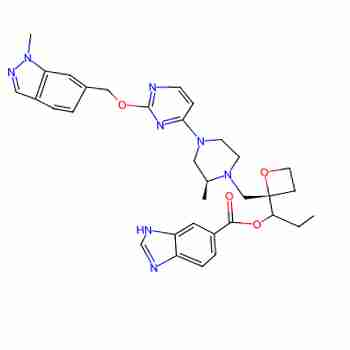 CCC(OC(=O)c1ccc2nc[nH]c2c1)[C@@]1(CN2CCN(c3ccnc(OCc4ccc5cnn(C)c5c4)n3)C[C@@H]2C)CCO1